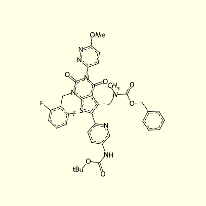 COc1ccc(-n2c(=O)c3c(CN(C)C(=O)OCc4ccccc4)c(-c4ccc(NC(=O)OC(C)(C)C)cn4)sc3n(Cc3c(F)cccc3F)c2=O)nn1